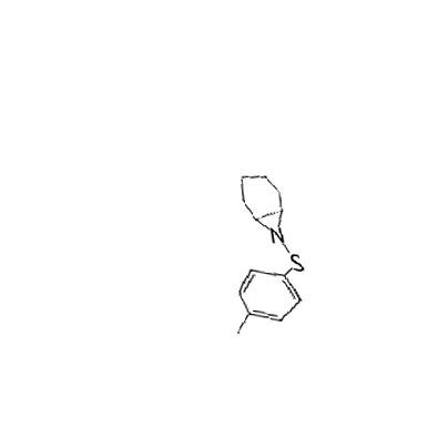 Cc1ccc(SN2C3CCCCC32)cc1